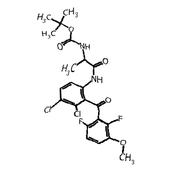 COc1ccc(F)c(C(=O)c2c(NC(=O)C(C)NC(=O)OC(C)(C)C)ccc(Cl)c2Cl)c1F